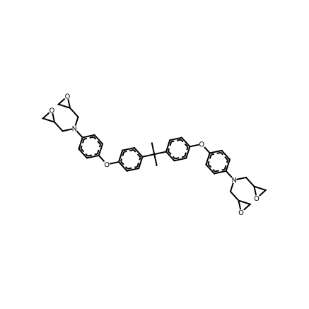 CC(C)(c1ccc(Oc2ccc(N(CC3CO3)CC3CO3)cc2)cc1)c1ccc(Oc2ccc(N(CC3CO3)CC3CO3)cc2)cc1